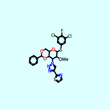 COC1C(Sc2cc(Cl)c(F)c(Cl)c2)OC2COC(c3ccccc3)OC2C1n1cc(-c2nccs2)nn1